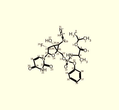 CC(C)OC(=O)C(C)NP(=O)(OC[C@@]12O[C@@H](n3ccc(=O)[nH]c3=O)[C@H](F)[C@@]1(O)C2N=[N+]=[N-])Oc1ccccc1